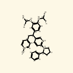 [O-][n+]1ccc(CC(c2ccc(N3CCCC3c3ccccc3)nc2)c2ccc(OC(F)F)c(OC(F)F)c2)cc1